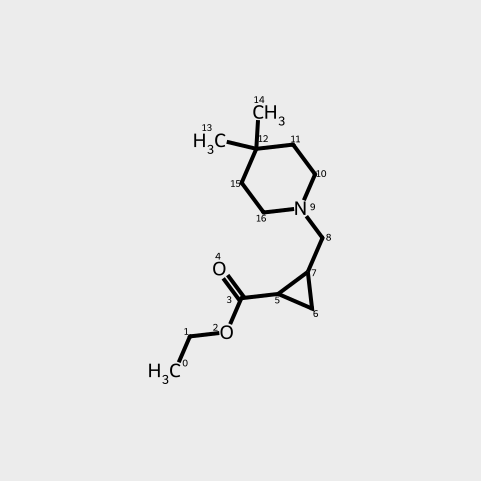 CCOC(=O)C1CC1CN1CCC(C)(C)CC1